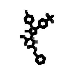 Cc1c([C@@H](NC(=O)OCc2ccccc2)C(=O)O)cc(-c2ccc(S(C)(=O)=O)cc2)n1-c1ccc(F)cc1